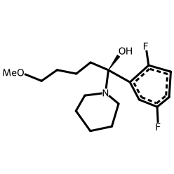 COCCCC[C@](O)(c1cc(F)ccc1F)N1CCCCC1